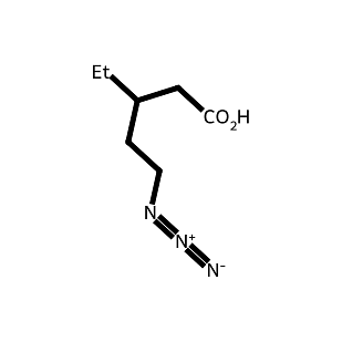 CCC(CCN=[N+]=[N-])CC(=O)O